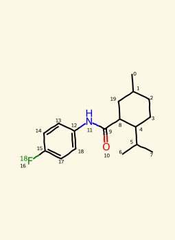 CC1CCC(C(C)C)C(C(=O)Nc2ccc([18F])cc2)C1